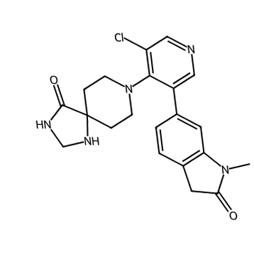 CN1C(=O)Cc2ccc(-c3cncc(Cl)c3N3CCC4(CC3)NCNC4=O)cc21